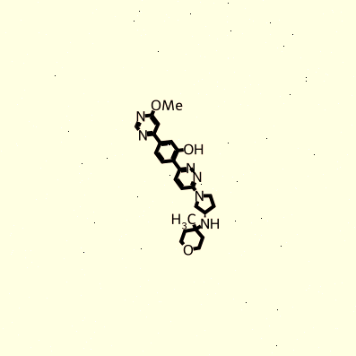 COc1cc(-c2ccc(-c3ccc(N4CC[C@H](NC5(C)CCOCC5)C4)nn3)c(O)c2)ncn1